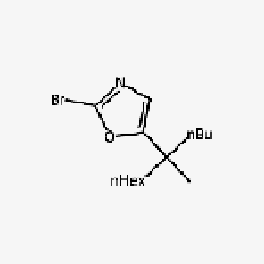 CCCCCCC(C)(CCCC)c1cnc(Br)o1